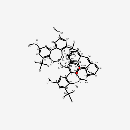 COc1cc(-c2cc(OC)cc(C(C)(C)C)c2Op2oc3c(C(C)(C)C)cc(OC)cc3c3cc(OC)cc(C(C)(C)C)c3o2)c(OP2Oc3cccc4cc5cccc(O)c5c(c34)O2)c(C(C)(C)C)c1